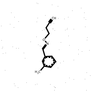 C#CCCON=[C]c1cccc(C)c1